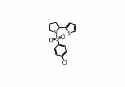 O=S(=O)(c1ccc(Cl)cc1)N1CCCC1c1cccs1